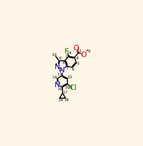 COC(=O)c1ccc2c(c(C)nn2-c2cnc(C3CC3)c(Cl)c2)c1F